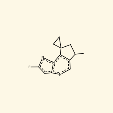 CC1CC2(CC2)c2c1cnc1cc(F)nn21